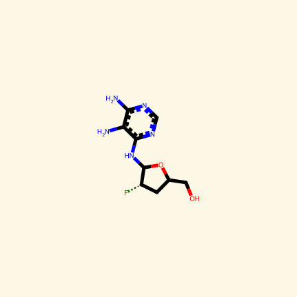 Nc1ncnc(NC2OC(CO)C[C@@H]2F)c1N